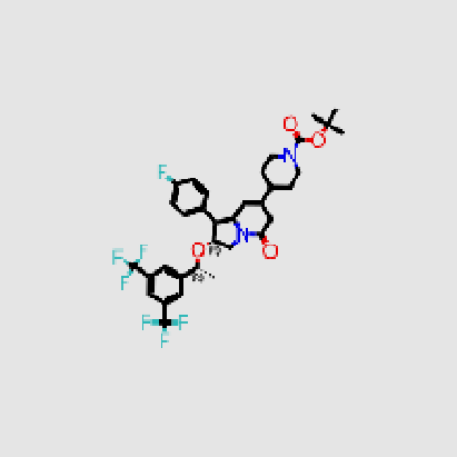 C[C@@H](O[C@H]1CN2C(=O)CC(C3CCN(C(=O)OC(C)(C)C)CC3)CC2C1c1ccc(F)cc1)c1cc(C(F)(F)F)cc(C(F)(F)F)c1